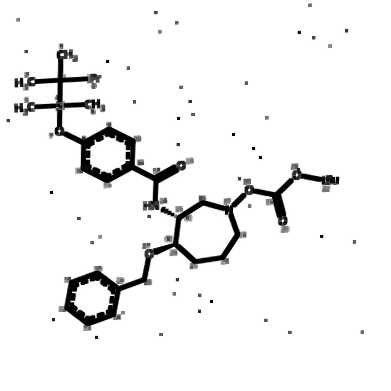 CC(C)C(C)(C)[Si](C)(C)Oc1ccc(C(=O)N[C@@H]2CN(OC(=O)OC(C)(C)C)CCC[C@H]2OCc2ccccc2)cc1